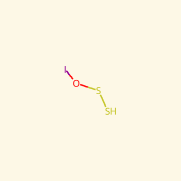 SSOI